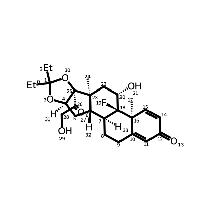 CCC1(CC)O[C@@H]2C[C@H]3[C@@H]4CCC5=CC(=O)C=C[C@]5(C)[C@@]4(F)[C@@H](O)C[C@]3(C)[C@]2(C(=O)CO)O1